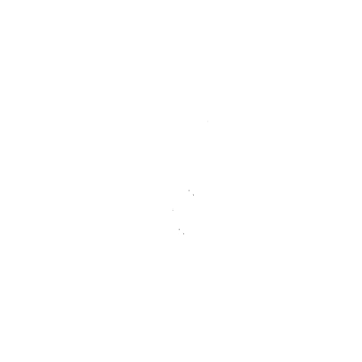 CCNC(=O)Nc1cc(C)cc(C(F)(F)F)c1